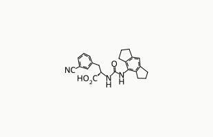 N#Cc1cccc(C[C@@H](NC(=O)Nc2c3c(cc4c2CCC4)CCC3)C(=O)O)c1